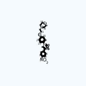 O=[N+]([O-])c1ccc(-c2cn(-c3ccc(OCCN4CCOCC4)cc3)nn2)cc1